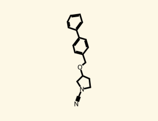 N#CN1CCC(OCc2ccc(-c3ccccc3)cc2)C1